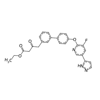 CCOC(=O)CC(=O)Cc1cccc(-c2ccc(Oc3ncc(-c4ccn[nH]4)cc3F)cc2)c1